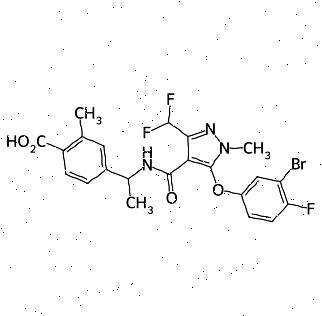 Cc1cc(C(C)NC(=O)c2c(C(F)F)nn(C)c2Oc2ccc(F)c(Br)c2)ccc1C(=O)O